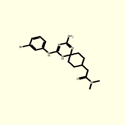 CN(C)C(=O)CC1CCC2(CC1)N=C(N)N=C(Nc1cccc(Br)c1)N2